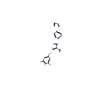 CCc1cc(CNc2[nH]nc(Nc3ccc(-n4cccc4)cc3)c2C(N)=O)cc(CC)c1O